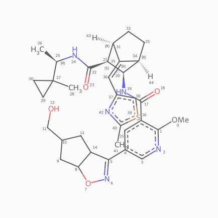 COc1ncc(C2=NOC3CC(CO)CC23)cc1C(=O)N[C@H]1[C@@H](C(=O)N[C@H](C)C2(C)CC2)[C@H]2CC[C@@H]1/C2=C\c1csc(C)n1